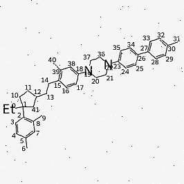 CCC1(c2ccc(C)cc2C)CCC(CCc2ccc(N3CCN(c4ccc(-c5ccc(C)cc5)cc4)CC3)cc2C)C1